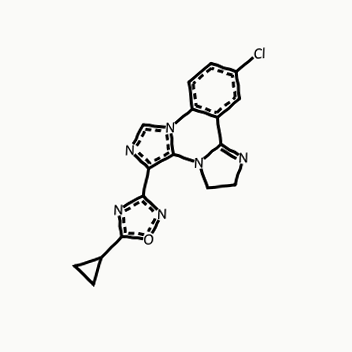 Clc1ccc2c(c1)C1=NCCN1c1c(-c3noc(C4CC4)n3)ncn1-2